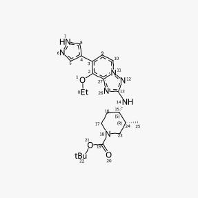 CCOc1c(-c2cn[nH]c2)ccn2nc(N[C@H]3CCN(C(=O)OC(C)(C)C)C[C@H]3C)nc12